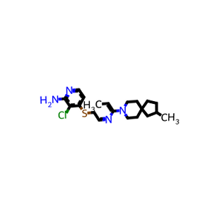 C/C=C(\N=C/CSc1ccnc(N)c1Cl)N1CCC2(CCC(C)C2)CC1